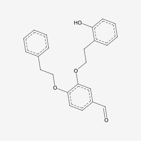 O=Cc1ccc(OCCc2ccccc2)c(OCCc2ccccc2O)c1